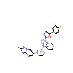 Cc1nc2ccc(N3CCC[C@H](N[C@@H]4CCCC[C@H]4Nc4ncc(-c5ccc(F)c(F)c5)o4)C3)cn2n1